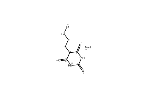 CCOCCC1C(=O)NC(=O)NC1=O.[NaH]